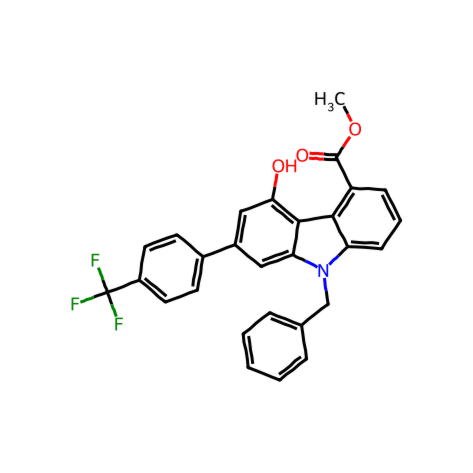 COC(=O)c1cccc2c1c1c(O)cc(-c3ccc(C(F)(F)F)cc3)cc1n2Cc1ccccc1